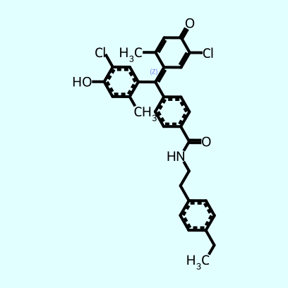 CCc1ccc(CCNC(=O)c2ccc(/C(=C3\C=C(Cl)C(=O)C=C3C)c3cc(Cl)c(O)cc3C)cc2)cc1